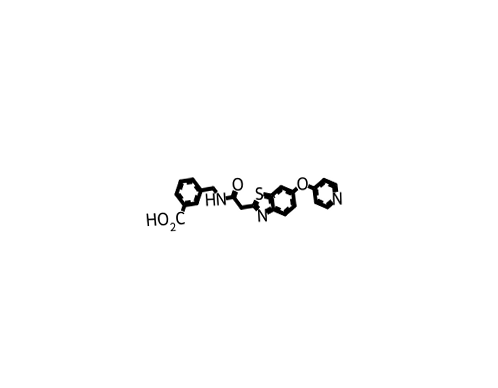 O=C(Cc1nc2ccc(Oc3ccncc3)cc2s1)NCc1cccc(C(=O)O)c1